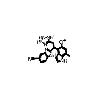 COc1cc(C)c2[nH]ccc2c1C(CC1=NNNN1)c1nc2cc(C#N)ccc2[nH]1